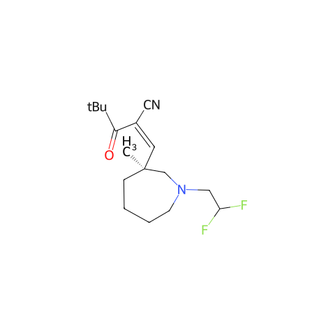 CC(C)(C)C(=O)/C(C#N)=C\[C@]1(C)CCCCN(CC(F)F)C1